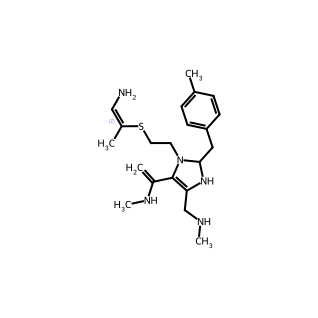 C=C(NC)C1=C(CNC)NC(Cc2ccc(C)cc2)N1CCS/C(C)=C\N